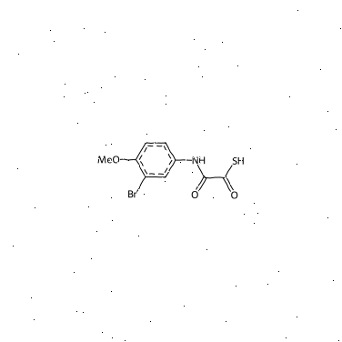 COc1ccc(NC(=O)C(=O)S)cc1Br